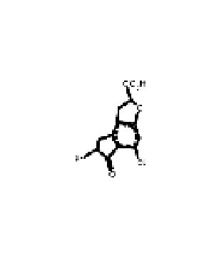 CCc1cc2c(c3c1C(=O)C(C(C)C)C3)CC(C(=O)O)O2